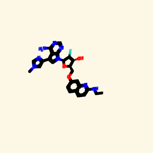 CCNc1ccc2ccc(OC[C@H]3O[C@@H](n4cc(-c5cn(C)cn5)c5c(N)ncnc54)[C@@H](F)[C@@H]3O)cc2n1